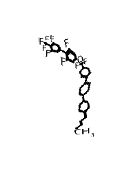 CCCCCC1CCC(C2CCC(C3CCC(C(F)(F)Oc4cc(F)c(-c5cc(F)c(C(F)(F)F)c(F)c5)c(F)c4)CC3)CC2)CC1